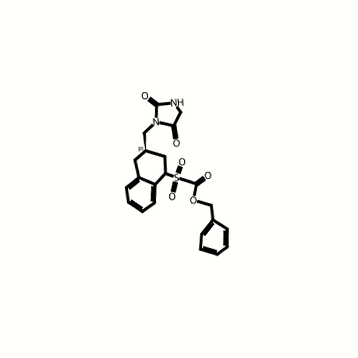 O=C1CNC(=O)N1C[C@@H]1Cc2ccccc2C(S(=O)(=O)C(=O)OCc2ccccc2)C1